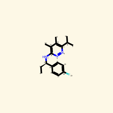 CC[C@@H](Nc1nnc(C(C)C)c(C)c1C)c1ccc(F)cc1